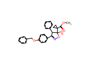 COC(=O)C1(C2(O)ON=C(c3ccc(OCc4ccccc4)cc3)C2c2ccccc2)CC1